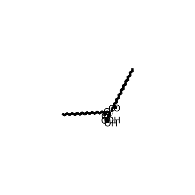 CCCCCC=CC=CC=CCCCCCCC(=O)OC[C@H](COP(=O)(O)O)OC(=O)CCCCCCC=CC=CC=CCCCCC